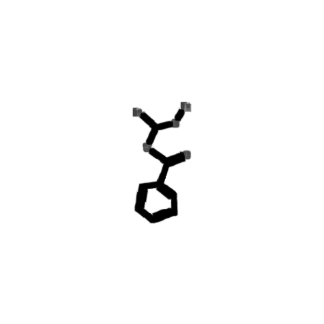 [CH2]CC(OCC)OC(=O)c1ccccc1